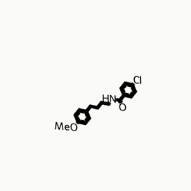 COc1ccc(CCCCNC(=O)c2ccc(Cl)cc2)cc1